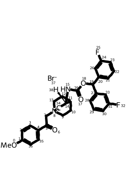 COc1ccc(C(=O)C[N+]23CCC(CC2)[C@@H](NC(=O)OC(c2cccc(F)c2)c2cccc(F)c2)C3)cc1.[Br-]